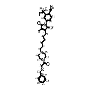 CC1=C(CCCCCCN2CCN(C(=O)COCc3ccccc3)CC2)C(=O)N(c2ccc(C#N)c(C(F)(F)F)c2)C1=O